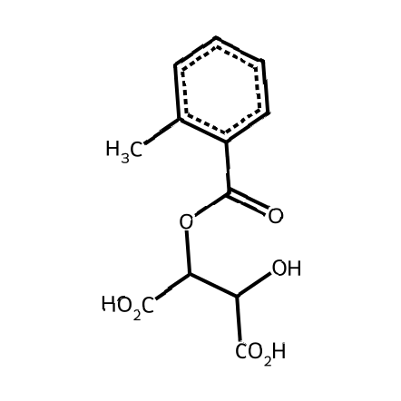 Cc1ccccc1C(=O)OC(C(=O)O)C(O)C(=O)O